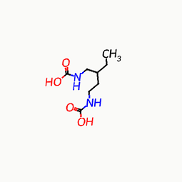 CCC(CCNC(=O)O)CNC(=O)O